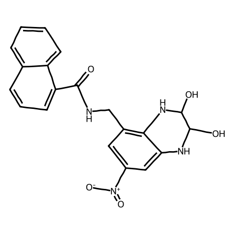 O=C(NCc1cc([N+](=O)[O-])cc2c1NC(O)C(O)N2)c1cccc2ccccc12